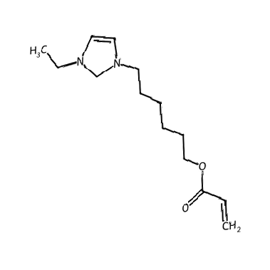 C=CC(=O)OCCCCCCN1C=CN(CC)C1